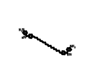 CCCC(c1ccc(N)cc1)c1ccc(CCCCCCCCCCCCCCCCCCCCc2ccc(C(CCC)c3ccc(N)cc3)cc2)cc1